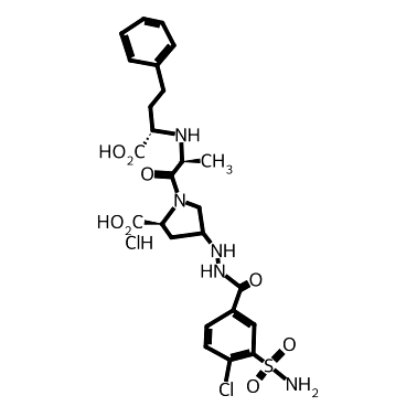 C[C@H](N[C@@H](CCc1ccccc1)C(=O)O)C(=O)N1CC(NNC(=O)c2ccc(Cl)c(S(N)(=O)=O)c2)C[C@H]1C(=O)O.Cl